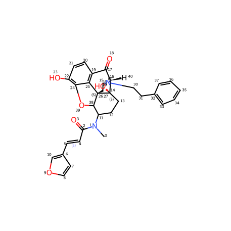 CN(C(=O)/C=C/c1ccoc1)C1CC[C@@]2(O)[C@H]3C(=O)c4ccc(O)c5c4[C@@]2(CCN3CCc2ccccc2)C1O5